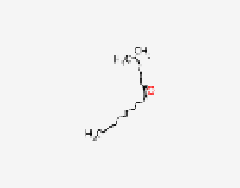 C=CCCCCCCCC[C@@H]1O[C@@H]1CCCCC(C)C